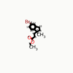 CCOC(=O)CCC1(C)CCc2cc(Br)ccc21